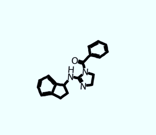 O=C(c1ccccc1)N1CCN=C1NC1CCc2ccccc21